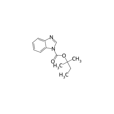 CCC(C)(C)OC(=O)n1cnc2ccccc21